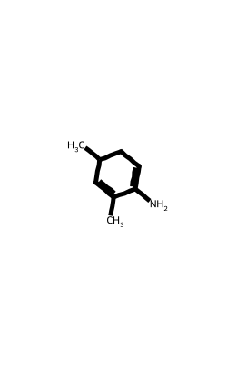 CC1=CC(C)CC=C1N